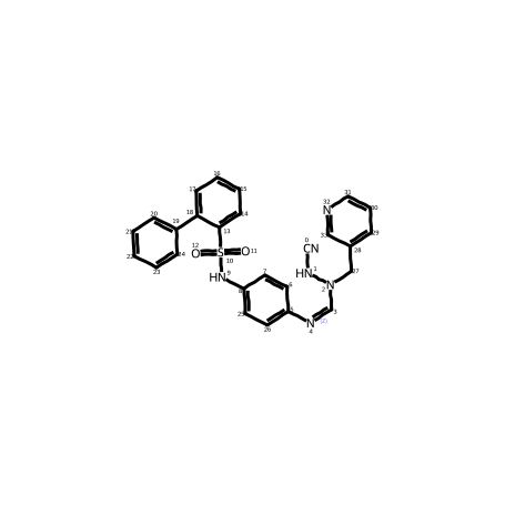 N#CNN(/C=N\c1ccc(NS(=O)(=O)c2ccccc2-c2ccccc2)cc1)Cc1cccnc1